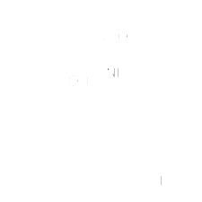 O=c1oc2ccccc2c(O)c1Nc1cccc(-c2ccc(F)cc2)c1